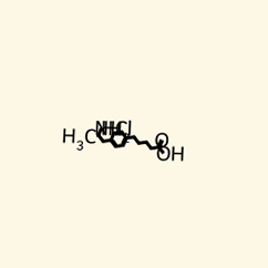 CC(N)Cc1ccc(CCCCC(=O)O)cc1.Cl